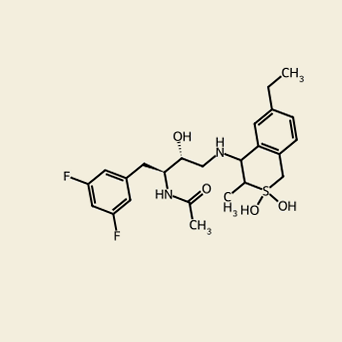 CCc1ccc2c(c1)C(NC[C@@H](O)[C@H](Cc1cc(F)cc(F)c1)NC(C)=O)C(C)S(O)(O)C2